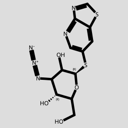 [N-]=[N+]=NC1C(O)[C@@H](Sc2cnc3ncsc3c2)OC(CO)[C@@H]1O